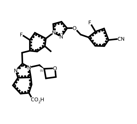 Cc1cc(Cc2nc3ccc(C(=O)O)cc3n2C[C@@H]2CCO2)c(F)cc1-n1ccc(OCc2ccc(C#N)cc2F)n1